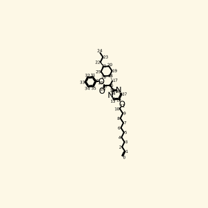 C=CCCCCCCCCCOc1cnc(C(C[C@H]2CC[C@H](CCC)CC2)C(=O)Oc2ccccc2)nc1